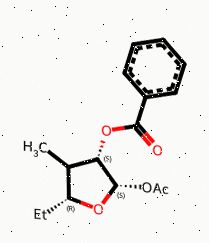 CC[C@H]1O[C@@H](OC(C)=O)[C@@H](OC(=O)c2ccccc2)C1C